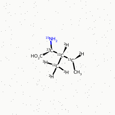 [2H][13C@@H](C)[12C@@]([2H])([13C@H]([15NH2])[13C](=O)O)[12C]([2H])([2H])[2H]